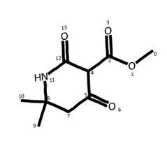 COC(=O)C1C(=O)CC(C)(C)NC1=O